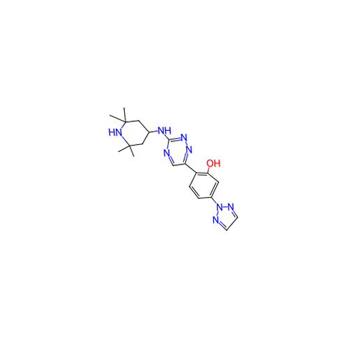 CC1(C)CC(Nc2ncc(-c3ccc(-n4nccn4)cc3O)nn2)CC(C)(C)N1